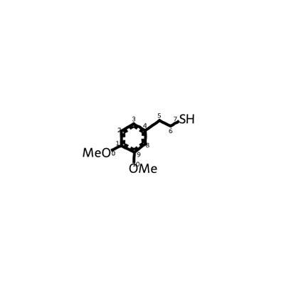 COc1ccc(CCS)cc1OC